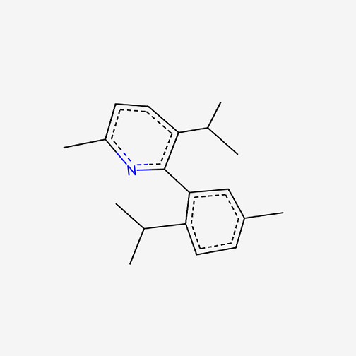 Cc1ccc(C(C)C)c(-c2nc(C)ccc2C(C)C)c1